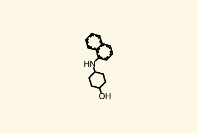 OC1CCC(Nc2cccc3ccccc23)CC1